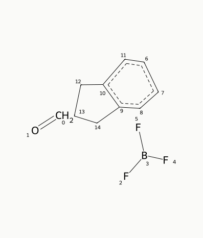 C=O.FB(F)F.c1ccc2c(c1)CCC2